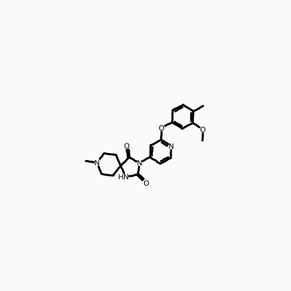 COc1cc(Oc2cc(N3C(=O)NC4(CCN(C)CC4)C3=O)ccn2)ccc1C